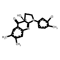 Cc1cc2c(cc1C)C(=O)[C@]1(O)CCN(c3ccc(C)c(Cl)c3)C1=N2